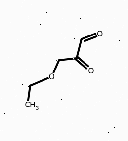 CCO[CH]C(=O)C=O